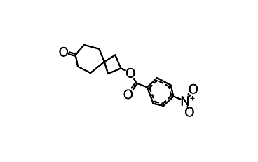 O=C1CCC2(CC1)CC(OC(=O)c1ccc([N+](=O)[O-])cc1)C2